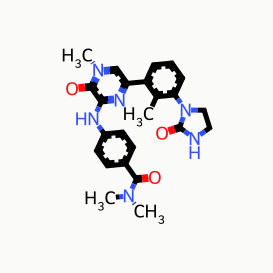 Cc1c(-c2cn(C)c(=O)c(Nc3ccc(C(=O)N(C)C)cc3)n2)cccc1N1CCNC1=O